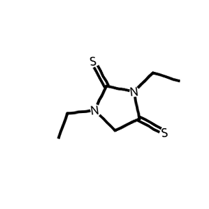 CCN1CC(=S)N(CC)C1=S